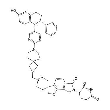 O=C1CC[C@H](N2Cc3c(ccc4c3OCC43CCN(CC4CC5(CCN(c6ncc([C@@H]7c8ccc(O)cc8CC[C@@H]7c7ccccc7)cn6)CC5)C4)CC3)C2=O)C(=O)N1